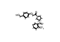 O=C(COc1ccc(CO)cc1)N1CC[C@H]([S+]([O-])c2cnccc2C(F)(F)F)C1